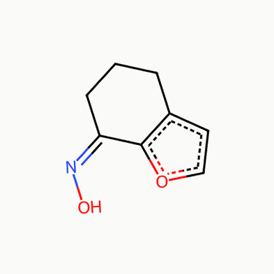 O/N=C1/CCCc2ccoc21